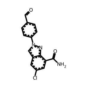 NC(=O)c1cc(Cl)cc2cn(-c3ccc(C=O)cc3)nc12